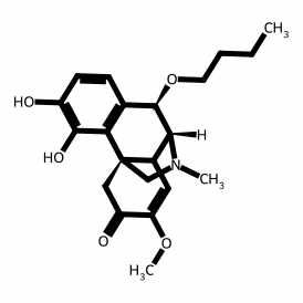 CCCCO[C@@H]1c2ccc(O)c(O)c2[C@]23CC(=O)C(OC)=CC2[C@H]1N(C)C3